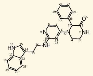 O=C1NCCN(c2ccnc(NCCc3c[nH]c4ccccc34)n2)C1c1ccccc1